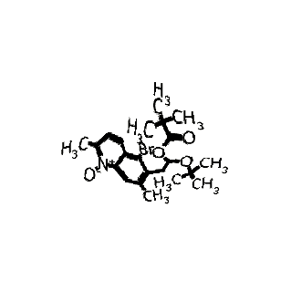 Cc1cc2c(ccc(C)[n+]2[O-])c(Br)c1CC(OC(=O)C(C)(C)C)OC(C)(C)C